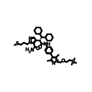 CSCCCn1ncc([C@@H](C(=O)Nc2ccc(-c3c(C)nn(COCC[Si](C)(C)C)c3C)cc2)C(C2CCCCC2)C2CCCCC2)c1C(N)=O